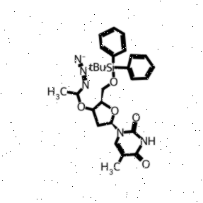 Cc1cn([C@H]2CC(OC(C)N=[N+]=[N-])[C@@H](CO[Si](c3ccccc3)(c3ccccc3)C(C)(C)C)O2)c(=O)[nH]c1=O